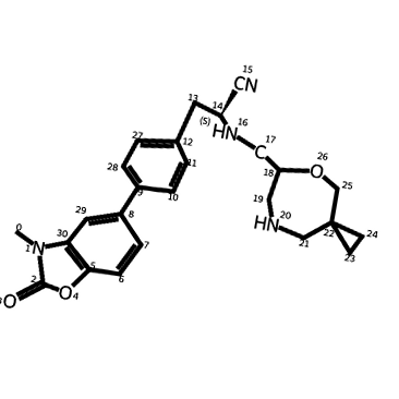 Cn1c(=O)oc2ccc(-c3ccc(C[C@@H](C#N)NCC4CNCC5(CC5)CO4)cc3)cc21